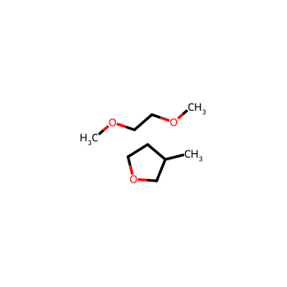 CC1CCOC1.COCCOC